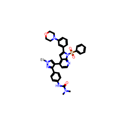 CCn1cc(-c2ccnc3c2cc(-c2cccc(N4CCOCC4)c2)n3S(=O)(=O)c2ccccc2)c(-c2ccc(NC(=O)N(C)C)cc2)n1